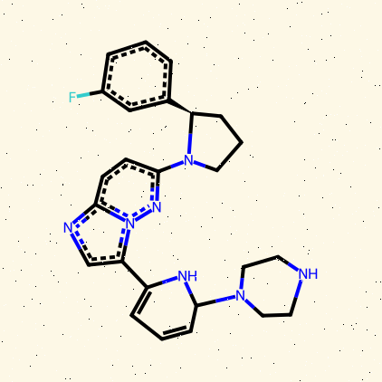 Fc1cccc([C@H]2CCCN2c2ccc3ncc(C4=CC=CC(N5CCNCC5)N4)n3n2)c1